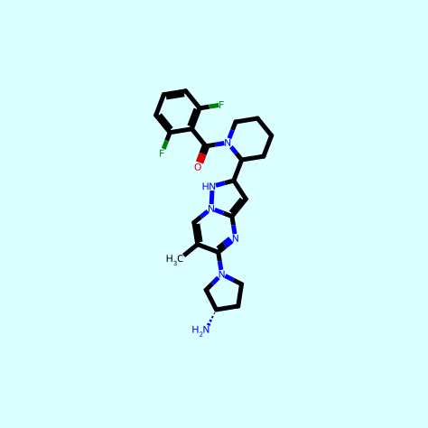 CC1=CN2NC(C3CCCCN3C(=O)c3c(F)cccc3F)C=C2N=C1N1CC[C@H](N)C1